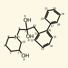 OC1CCCN(CC(O)(O)Cc2ccccc2-c2ccccc2)C1